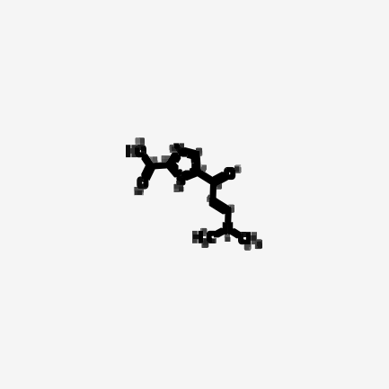 CN(C)/C=C/C(=O)c1cnc(C(=O)O)s1